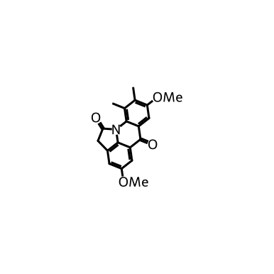 COc1cc2c3c(c1)c(=O)c1cc(OC)c(C)c(C)c1n3C(=O)C2